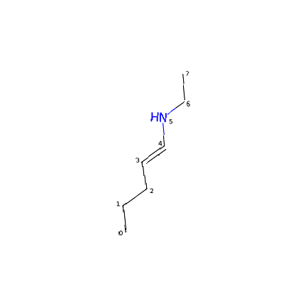 CCC/C=C/NCC